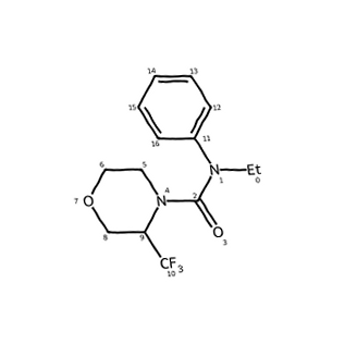 CCN(C(=O)N1CCOCC1C(F)(F)F)c1ccccc1